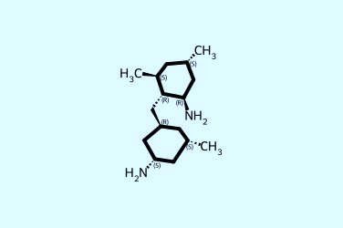 C[C@@H]1C[C@H](N)C[C@@H](C[C@H]2[C@H](N)C[C@@H](C)C[C@@H]2C)C1